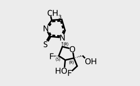 Cc1ccn([C@@H]2O[C@@](CO)(CF)C(O)[C@@H]2F)c(=S)n1